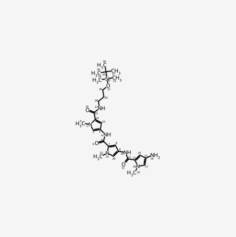 Cn1cc(NC(=O)c2cc(NC(=O)c3cc(N)cn3C)cn2C)cc1C(=O)NCCCO[Si](C)(C)C(C)(C)C